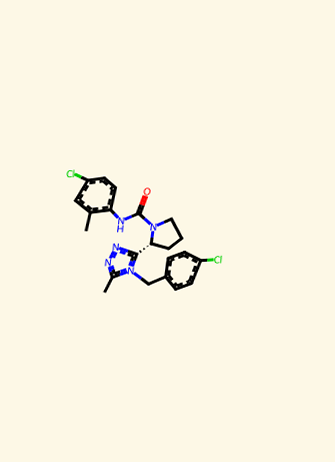 Cc1cc(Cl)ccc1NC(=O)N1CCC[C@@H]1c1nnc(C)n1Cc1ccc(Cl)cc1